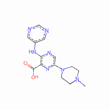 CN1CCN(c2cnc(Nc3cncnc3)c(C(=O)O)n2)CC1